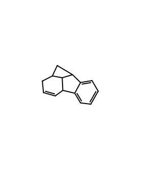 C1=CC2c3ccccc3C3CC(C1)C23